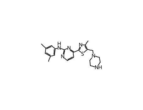 Cc1cc(C)cc(Nc2nccc(-c3nc(C)c(CN4CCNCC4)s3)n2)c1